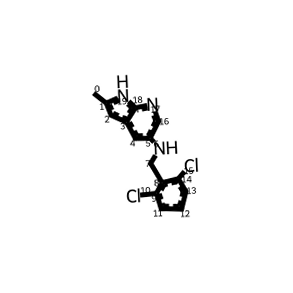 Cc1cc2cc(NCc3c(Cl)cccc3Cl)cnc2[nH]1